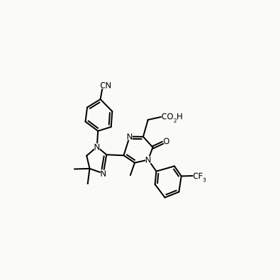 Cc1c(C2=NC(C)(C)CN2c2ccc(C#N)cc2)nc(CC(=O)O)c(=O)n1-c1cccc(C(F)(F)F)c1